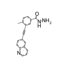 Cc1ccc(C(=O)NN)cc1C#Cc1ccc2ncccc2c1